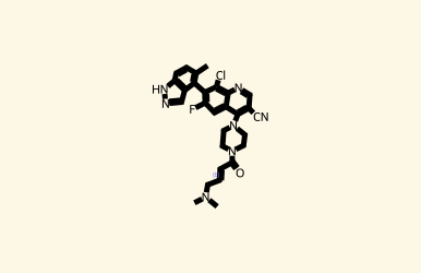 Cc1ccc2[nH]ncc2c1-c1c(F)cc2c(N3CCN(C(=O)/C=C/CN(C)C)CC3)c(C#N)cnc2c1Cl